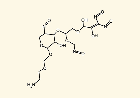 NCCOCOC1OCC(N=O)C(OC(COC(O)C(O)=C(N=O)N=O)OCN=O)C1O